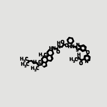 CNC(=O)c1cc(Oc2ccc3nc(N[C@H]4CCCC[C@@H]4OC(=O)CNC(=O)N[C@H]4CC[C@@]5(C)C(=CCC6C5CC[C@@]5(C)C6CC[C@@H]5[C@H](C)CCCC(C)C)C4)sc3c2)ccn1